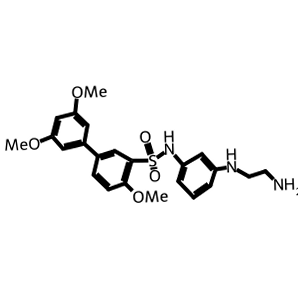 COc1cc(OC)cc(-c2ccc(OC)c(S(=O)(=O)Nc3cccc(NCCN)c3)c2)c1